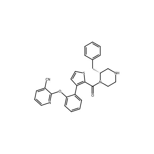 N#Cc1cccnc1Oc1ccccc1-c1ccsc1C(=O)N1CCNC[C@H]1Cc1ccccc1